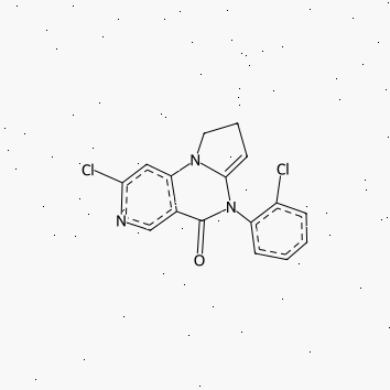 O=C1c2cnc(Cl)cc2N2CCC=C2N1c1ccccc1Cl